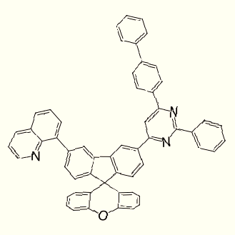 c1ccc(-c2ccc(-c3cc(-c4ccc5c(c4)-c4cc(-c6cccc7cccnc67)ccc4C54c5ccccc5Oc5ccccc54)nc(-c4ccccc4)n3)cc2)cc1